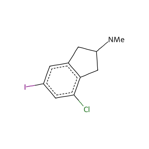 CNC1Cc2cc(I)cc(Cl)c2C1